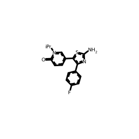 CC(C)n1cc(-c2sc(N)nc2-c2ccc(F)cc2)ccc1=O